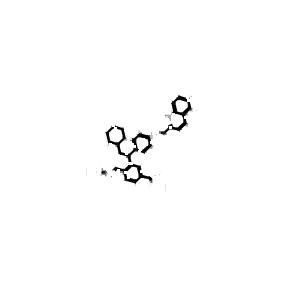 O=C(O)c1ccc(C=NO)c(C(CC2CCCCC2)c2ccc(OCc3ccc4ccccc4n3)cc2)c1